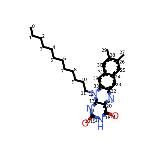 CCCCCCCCCCCCn1c2nc(=O)[nH]c(=O)c-2nc2cc3cc(C)c(C)cc3cc21